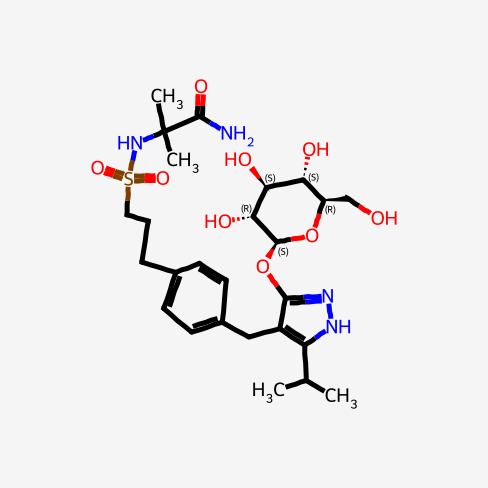 CC(C)c1[nH]nc(O[C@@H]2O[C@H](CO)[C@@H](O)[C@H](O)[C@H]2O)c1Cc1ccc(CCCS(=O)(=O)NC(C)(C)C(N)=O)cc1